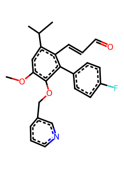 COc1cc(C(C)C)c(/C=C/C=O)c(-c2ccc(F)cc2)c1OCc1cccnc1